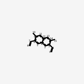 C=Cc1cc2cc(C=C)c(C)cc2cc1C